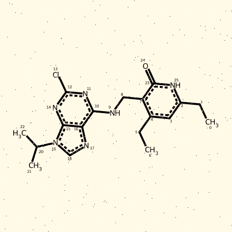 CCc1cc(CC)c(CNc2nc(Cl)nc3c2ncn3C(C)C)c(=O)[nH]1